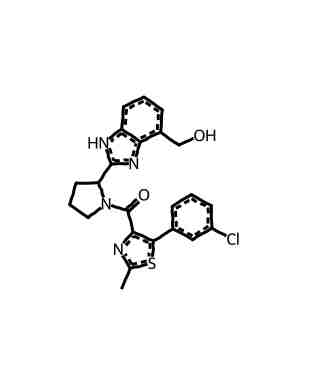 Cc1nc(C(=O)N2CCCC2c2nc3c(CO)cccc3[nH]2)c(-c2cccc(Cl)c2)s1